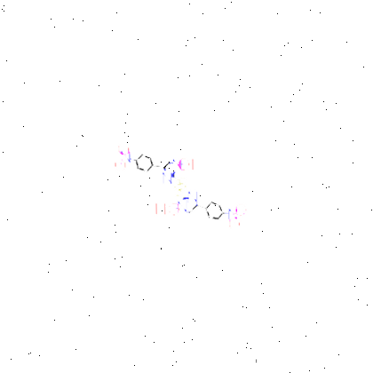 O=[N+]([O-])c1ccc(-c2cn(O)c(SSc3nc(-c4ccc([N+](=O)[O-])cc4)cn3O)n2)cc1